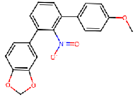 COc1ccc(-c2[c]ccc(-c3ccc4c(c3)OCO4)c2[N+](=O)[O-])cc1